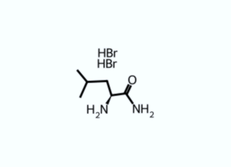 Br.Br.CC(C)C[C@H](N)C(N)=O